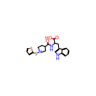 O=C(NC(Cc1c[nH]c2ccccc12)C(=O)O)C1CCN(Sc2cccs2)CC1